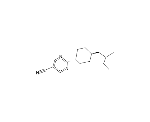 CCC(C)C[C@H]1CC[C@H](c2ncc(C#N)cn2)CC1